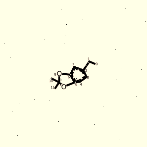 CCc1ccc2c(c1)OC(C)(C)O2